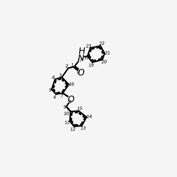 O=C(Cc1cccc(OCc2ccccc2)c1)Nc1ccccc1